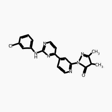 CC1=NN(c2cc(-c3ccnc(Nc4cccc(Cl)c4)n3)ccn2)C(=O)C1C